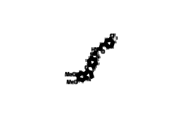 COc1cc2nccc(Oc3cc4sc(NC(=O)Cc5cccc(C(F)(F)F)c5)nc4cc3F)c2cc1OC